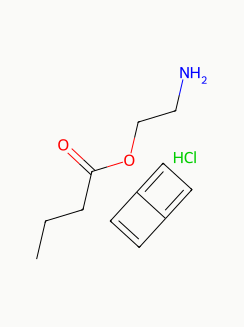 CCCC(=O)OCCN.Cl.c1cc2ccc1-2